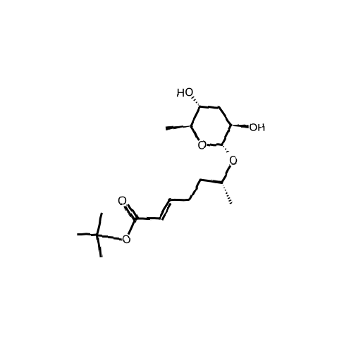 C[C@H](CC/C=C/C(=O)OC(C)(C)C)O[C@@H]1O[C@@H](C)[C@H](O)C[C@H]1O